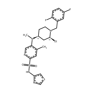 CC[C@H]1C[C@@H](N(C)c2cnc(S(=O)(=O)Nc3cscn3)cc2C)CCN1Cc1cc(F)ccc1F